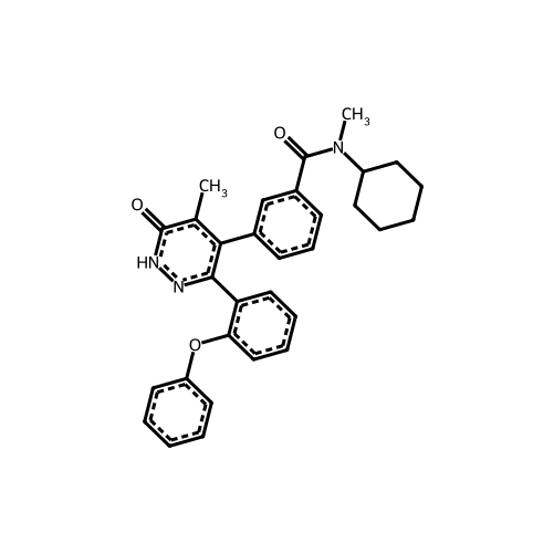 Cc1c(-c2cccc(C(=O)N(C)C3CCCCC3)c2)c(-c2ccccc2Oc2ccccc2)n[nH]c1=O